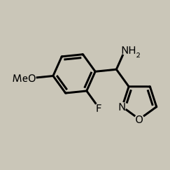 COc1ccc(C(N)c2ccon2)c(F)c1